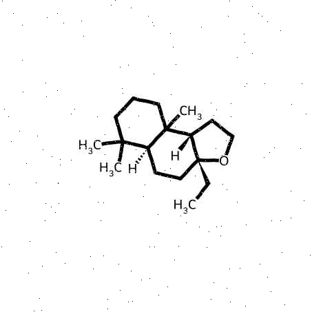 CC[C@@]12CC[C@H]3C(C)(C)CCCC3(C)[C@@H]1CCO2